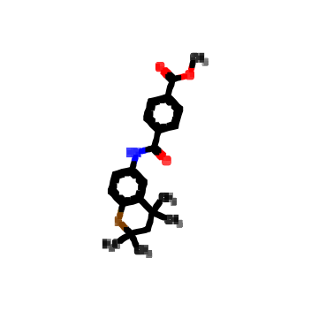 COC(=O)c1ccc(C(=O)Nc2ccc3c(c2)C(C)(C)CC(C)(C)S3)cc1